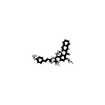 COc1ccc(C=CC(=O)O[C@H]2[C@@H](O)c3c(cc(OC)c4c(=O)c5cc6ccccc6cc5n(C)c34)OC2(C)C)cc1